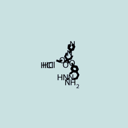 CCOC(=O)C1(COc2ccc3c(c2)CN(C(=N)N)CCC3)CCN(c2ccncc2)CC1.Cl.Cl